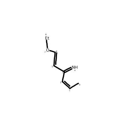 C/C=C\C(=N)/C=C/OCC